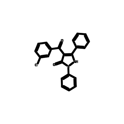 O=C(c1cccc(Cl)c1)c1c(-c2ccccc2)[nH]n(-c2ccccc2)c1=O